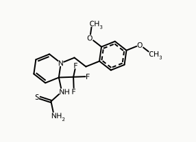 COc1ccc(CCN2C=CC=CC2(NC(N)=S)C(F)(F)F)c(OC)c1